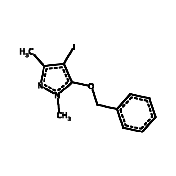 Cc1nn(C)c(OCc2ccccc2)c1I